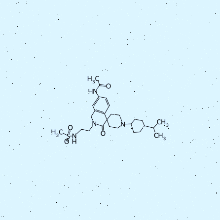 CC(=O)Nc1ccc2c(c1)CN(CCNS(C)(=O)=O)C(=O)C21CCN(C2CCC(C(C)C)CC2)CC1